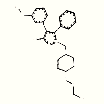 CSc1nn(C[C@H]2CC[C@H](COCC(=O)O)CC2)c(-c2ccccc2)c1-c1cccc(OC(C)C)c1